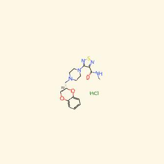 CNC(=O)c1nsnc1N1CCN(C[C@H]2COc3ccccc3O2)CC1.Cl